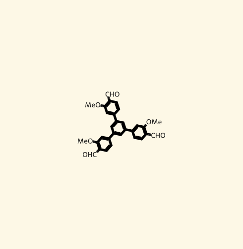 COc1cc(-c2cc(-c3ccc(C=O)c(OC)c3)cc(-c3ccc(C=O)c(OC)c3)c2)ccc1C=O